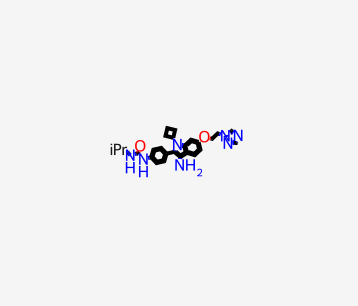 CC(C)NC(=O)Nc1ccc(-c2c(N)c3ccc(OCCn4cncn4)cc3n2C2CCC2)cc1